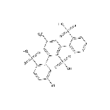 Cc1cc(-c2ccccc2S(=O)(=O)O)c(S(=O)(=O)O)c(-c2cc(Cl)ccc2S(=O)(=O)O)c1